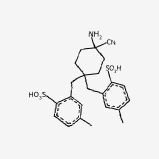 Cc1ccc(S(=O)(=O)O)c(CC2(Cc3cc(C)ccc3S(=O)(=O)O)CCC(N)(C#N)CC2)c1